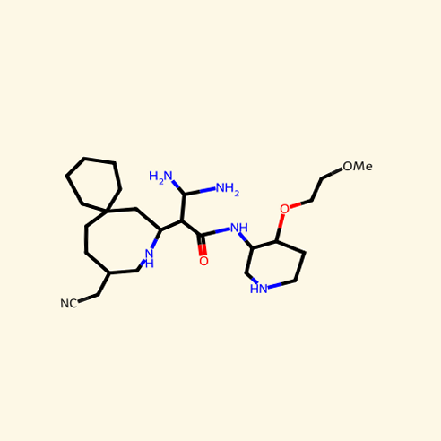 COCCOC1CCNCC1NC(=O)C(C(N)N)C1CC2(CCCCC2)CCC(CC#N)CN1